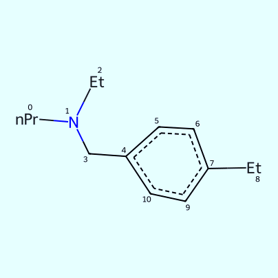 CCCN(CC)Cc1ccc(CC)cc1